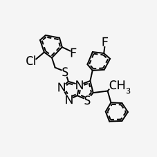 CC(c1ccccc1)c1sc2nnc(SCc3c(F)cccc3Cl)n2c1-c1ccc(F)cc1